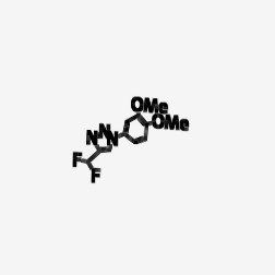 COc1ccc(-n2cc(C(F)F)nn2)cc1OC